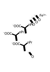 C=C(CCC)C(=O)[O-].C=C(CCC)C(=O)[O-].C=C(CCC)C(=O)[O-].[C]=O.[C]=O.[C]=O.[C]=O.[Fe+3]